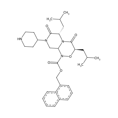 CC(C)C[C@H]1ON(C(=O)OCc2cccc3ccccc23)C2CN(C3CCNCC3)C(=O)[C@H](CC(C)C)N2C1=O